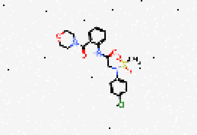 CS(=O)(=O)N(CC(=O)Nc1ccccc1C(=O)N1CCOCC1)c1ccc(Cl)cc1